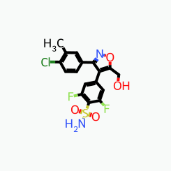 Cc1cc(-c2noc(CO)c2-c2cc(F)c(S(N)(=O)=O)c(F)c2)ccc1Cl